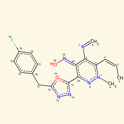 C=Nc1c(/C=C\C)n(C)nc(-c2nnc(Cc3ccc(F)cc3)o2)/c1=N\O